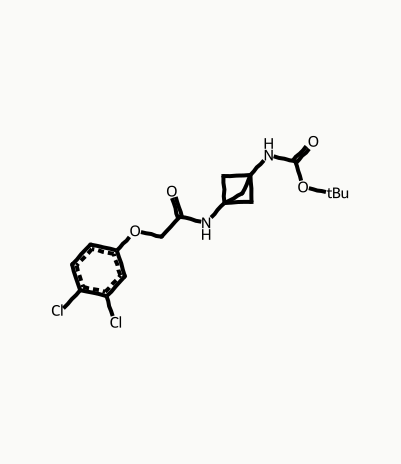 CC(C)(C)OC(=O)NC12CC(NC(=O)COc3ccc(Cl)c(Cl)c3)(C1)C2